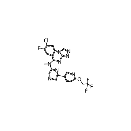 CN(c1cncc(-c2ccc(OCC(F)(F)F)nc2)n1)c1nc2nncn2c2cc(Cl)c(F)cc12